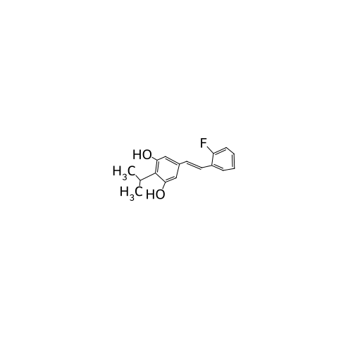 CC(C)c1c(O)cc(C=Cc2ccccc2F)cc1O